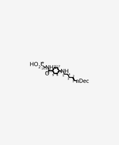 CCCCCCCCCCC=CCCCNc1ccc(C(=O)NCC(=O)O)cc1